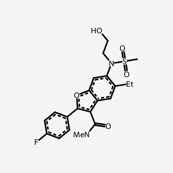 CCc1cc2c(C(=O)NC)c(-c3ccc(F)cc3)oc2cc1N(CCO)S(C)(=O)=O